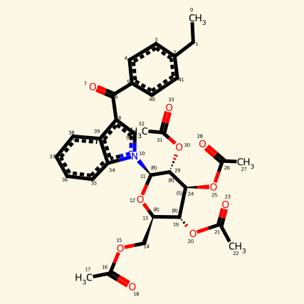 CCc1ccc(C(=O)c2cn([C@@H]3O[C@H](COC(C)=O)[C@@H](OC(C)=O)[C@H](OC(C)=O)[C@H]3OC(C)=O)c3ccccc23)cc1